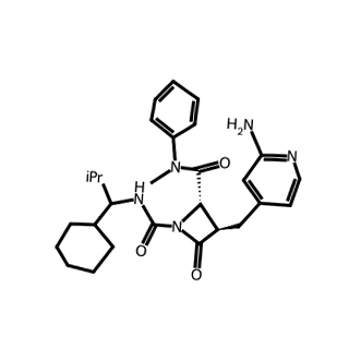 CC(C)C(NC(=O)N1C(=O)[C@H](Cc2ccnc(N)c2)[C@H]1C(=O)N(C)c1ccccc1)C1CCCCC1